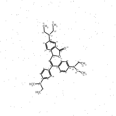 CCN(C)c1ccc(C(=CC2OC(=O)c3cc(N(CC)CC)ccc32)c2ccc(N(CC)CC)cc2)cc1